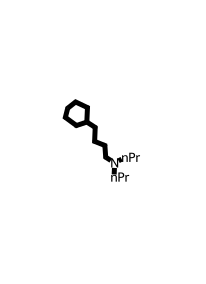 CCCN(CCC)CCCCC1CCCCC1